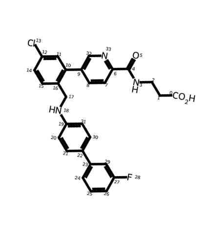 O=C(O)CCNC(=O)c1ccc(-c2cc(Cl)ccc2CNc2ccc(-c3cccc(F)c3)cc2)cn1